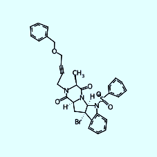 C[C@H]1C(=O)N2[C@@H](C[C@]3(Br)c4ccccc4N(S(=O)(=O)c4ccccc4)[C@H]23)C(=O)N1CC#CCOCc1ccccc1